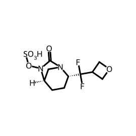 O=C1N2C[C@@H](CC[C@H]2C(F)(F)C2COC2)N1OS(=O)(=O)O